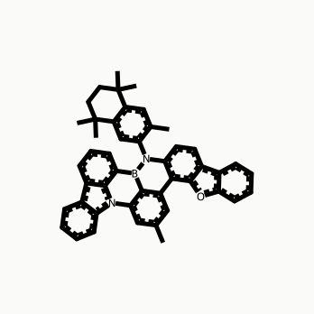 Cc1cc2c3c(c1)-n1c4ccccc4c4cccc(c41)B3N(c1cc3c(cc1C)C(C)(C)CCC3(C)C)c1ccc3c(oc4ccccc43)c1-2